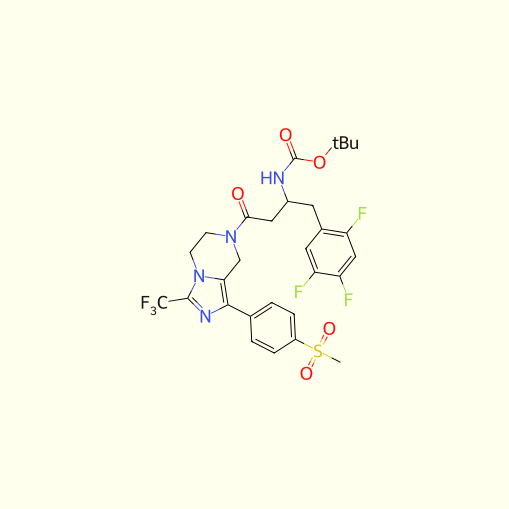 CC(C)(C)OC(=O)NC(CC(=O)N1CCn2c(C(F)(F)F)nc(-c3ccc(S(C)(=O)=O)cc3)c2C1)Cc1cc(F)c(F)cc1F